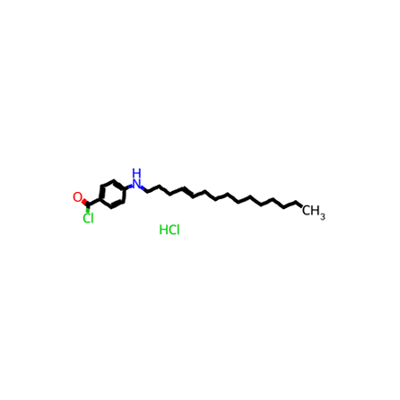 CCCCCCCCCCC=CCCCNc1ccc(C(=O)Cl)cc1.Cl